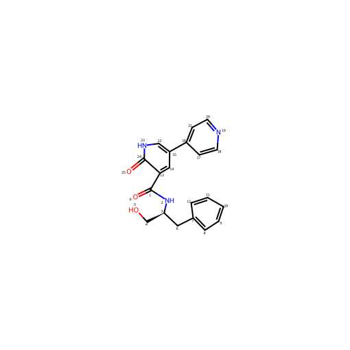 O=C(N[C@H](CO)Cc1ccccc1)c1cc(-c2ccncc2)c[nH]c1=O